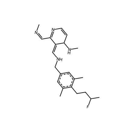 C/N=C\C1=NC=CC(NC)/C1=C\NCc1cc(C)c(CCC(C)F)c(C)c1